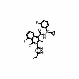 CCc1nnc(-n2c(C)c(C(=O)N[C@H](c3cccc(F)c3)C3CC3)c3cccc(F)c3c2=O)s1